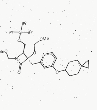 COCO[C@@]1(Cc2cc(OC3CCC4(CC3)CC4)ccn2)C(=O)N(COC)[C@H]1CO[Si](C(C)C)(C(C)C)C(C)C